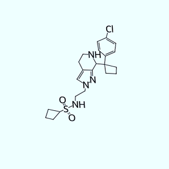 O=S(=O)(NCCn1cc2c(n1)C(C1(c3ccc(Cl)cc3)CCC1)NCC2)C1CCC1